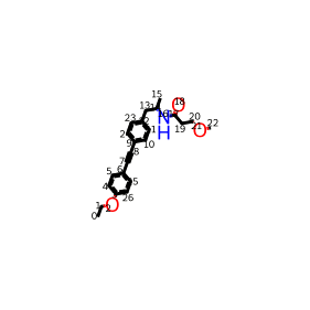 CCOc1ccc(C#Cc2ccc(CC(C)NC(=O)CCOC)cc2)cc1